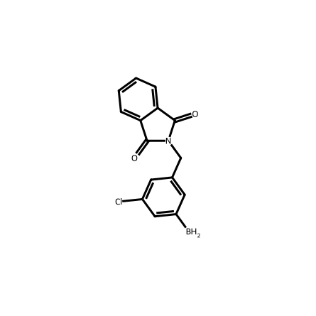 Bc1cc(Cl)cc(CN2C(=O)c3ccccc3C2=O)c1